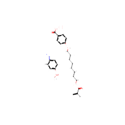 C=C(C)C(=O)OCCCCCCCCOc1ccc(C(=O)O)cc1.COc1ccc(N)cc1